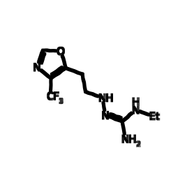 CCNC(N)=NNCCc1ocnc1C(F)(F)F